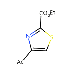 CCOC(=O)c1nc(C(C)=O)cs1